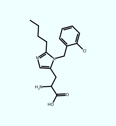 CCCCc1ncc(CC(N)C(=O)O)n1Cc1ccccc1Cl